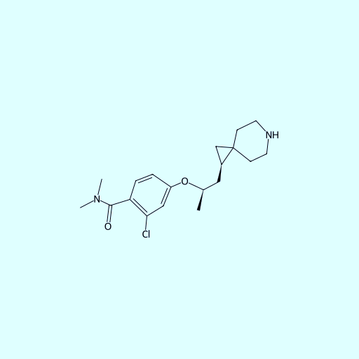 C[C@H](C[C@H]1CC12CCNCC2)Oc1ccc(C(=O)N(C)C)c(Cl)c1